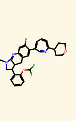 CN1CC(c2ccccc2OC(F)F)C2Cc3cc(C4=CC=C=C(C5CCOCC5)N=C4)c(F)cc3N=C21